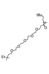 CCC(C)(C)CCOCCOCCOCCOCCOCCC(=O)N(C)CCC(C)(C)C